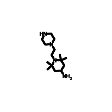 CC1(C)CC(N)CC(C)(C)N1CCN1CCNCC1